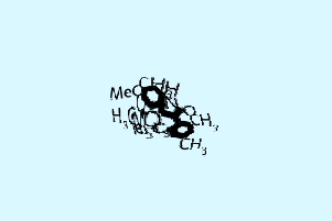 COC1(C)CCC2(CC1)NC(=O)C(c1c(C)cc(C)cc1C)=C2OC(=O)N(C)C